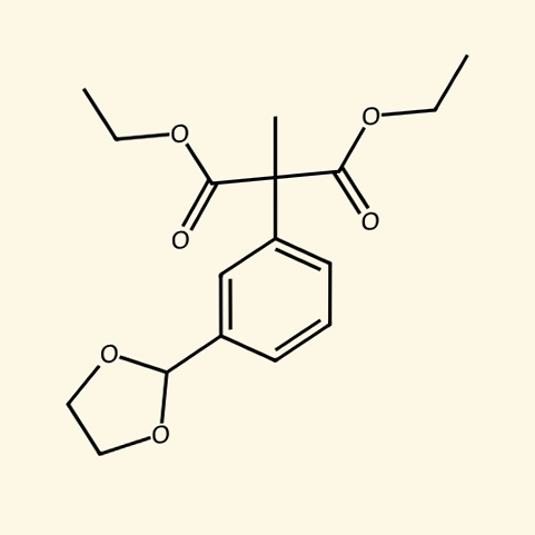 CCOC(=O)C(C)(C(=O)OCC)c1cccc(C2OCCO2)c1